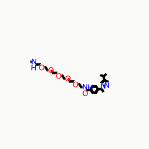 CNCCOCCOCCOCCOCCOCCNC(=O)c1ccc(C(C)n2cc(C(C)C)cn2)cc1